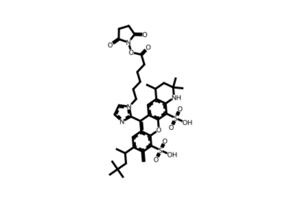 C=c1c(C(C)CC(C)(C)C)cc2c(c1S(=O)(=O)O)Oc1c(cc3c(c1S(=O)(=O)O)NC(C)(C)CC3C)C=2c1nccn1CCCCCC(=O)ON1C(=O)CCC1=O